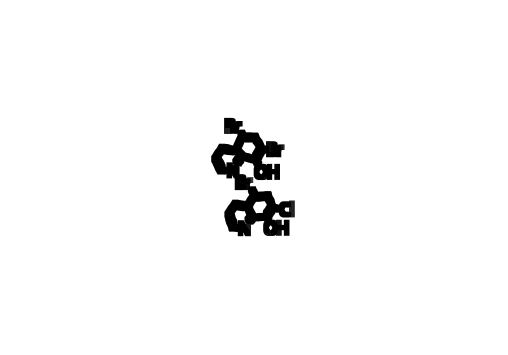 Oc1c(Br)cc(Br)c2cccnc12.Oc1c(Cl)cc(Br)c2cccnc12